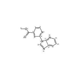 COC(=O)c1ccnc(-n2cnc3cccnc32)c1